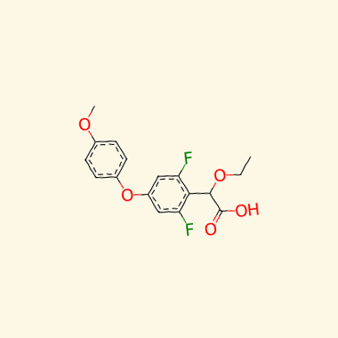 CCOC(C(=O)O)c1c(F)cc(Oc2ccc(OC)cc2)cc1F